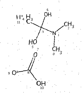 CN(C)C(C)(O)O.O=C([O-])O.[H+]